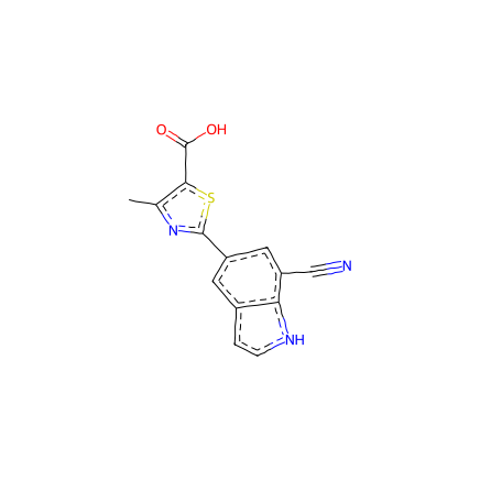 Cc1nc(-c2cc(C#N)c3[nH]ccc3c2)sc1C(=O)O